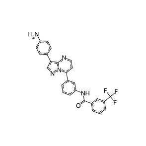 Nc1ccc(-c2cnn3c(-c4cccc(NC(=O)c5cccc(C(F)(F)F)c5)c4)ccnc23)cc1